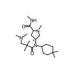 CNC(=O)C1C[C@H](N(C(=O)C(C)(C)CN(C)C)C2CCC(C)(C)CC2)CN1C